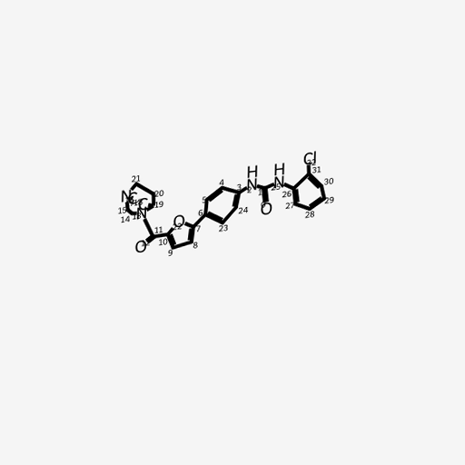 O=C(Nc1ccc(-c2ccc(C(=O)N3CCN4CCC3CC4)o2)cc1)Nc1ccccc1Cl